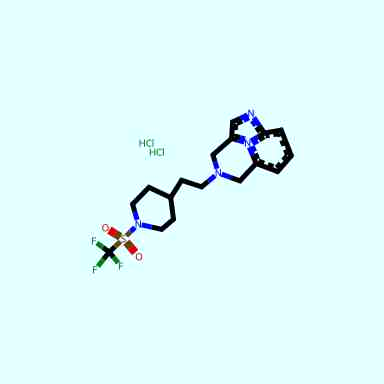 Cl.Cl.O=S(=O)(N1CCC(CCN2Cc3cccc4ncc(n34)C2)CC1)C(F)(F)F